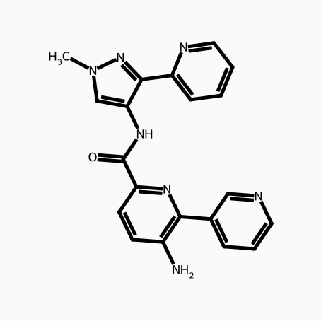 Cn1cc(NC(=O)c2ccc(N)c(-c3cccnc3)n2)c(-c2ccccn2)n1